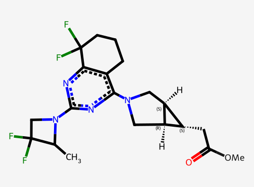 COC(=O)C[C@@H]1[C@H]2CN(c3nc(N4CC(F)(F)C4C)nc4c3CCCC4(F)F)C[C@@H]12